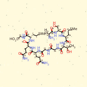 CSCC[C@H](NC(=O)[C@H](CCC(N)=O)NC(=O)[C@H](CCC(N)=O)NC(=O)CNC(=O)CNC(=O)[C@@H](NC(=O)[C@H](CCSC)NC(=O)[C@H](CO)NC(=O)[C@H](C)N)[C@@H](C)O)C(=O)NCC(=O)O